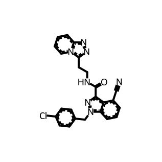 N#Cc1cccc2c1c(C(=O)NCCc1nnc3ccccn13)nn2Cc1ccc(Cl)cc1